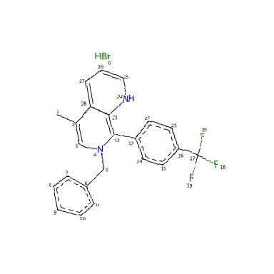 Br.CC1=CN(Cc2ccccc2)C(c2ccc(C(F)(F)F)cc2)=C2NC=CC=C12